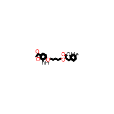 CCCc1c(OCCCCCOC(Cc2ccccc2)C(=O)OC)ccc2c1OCC2=O